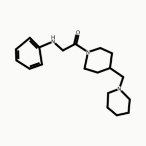 O=C(CNc1ccccc1)N1CCC(CN2CCCCC2)CC1